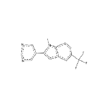 Cn1c(-c2cncnc2)cc2cc(C(F)(F)F)ccc21